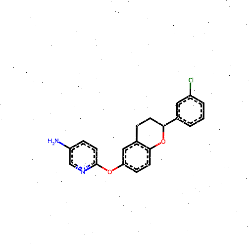 Nc1ccc(Oc2ccc3c(c2)CCC(c2cccc(Cl)c2)O3)nc1